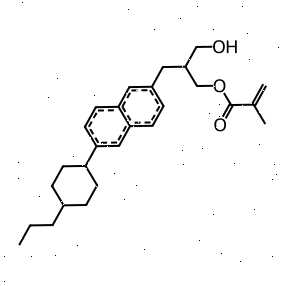 C=C(C)C(=O)OCC(CO)Cc1ccc2cc(C3CCC(CCC)CC3)ccc2c1